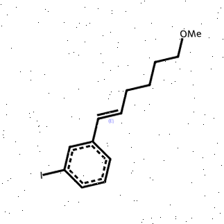 COCCCC/C=C/c1cccc(I)c1